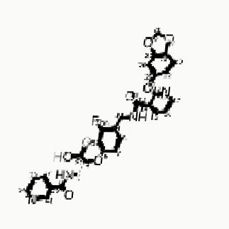 O=C(NC[C@@H](Oc1ccc(CNC(=O)c2cccnc2Oc2ccc3c(c2)OCO3)c(F)c1)C(=O)O)c1cccnc1